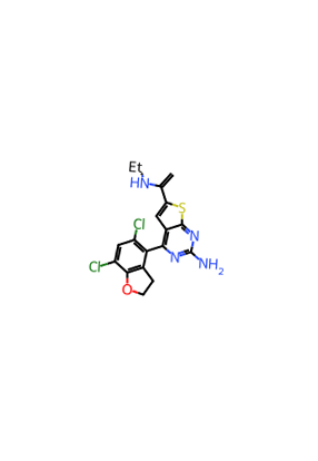 C=C(NCC)c1cc2c(-c3c(Cl)cc(Cl)c4c3CCO4)nc(N)nc2s1